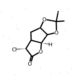 CC1(C)OC2CC3[C@H](OC(=O)[C@@H]3Cl)C2O1